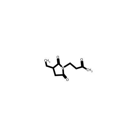 CCC1CC(=O)N(CCC(C)=O)C1=O